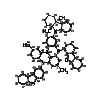 Cc1cc2c3c(c1)N(c1cccc4c1oc1ccccc14)c1cc(N4c5ccccc5C5(C)CCCCC45C)ccc1B3c1cc(C(C)(C)C)ccc1N2c1ccc2sc3ccccc3c2c1